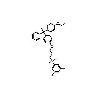 CCOC1C=CC(C(C)(c2ccccc2)C2C=CC(OCCC[Si](C)(C)c3cc(C)cc(C)c3)=CC2)=CC1